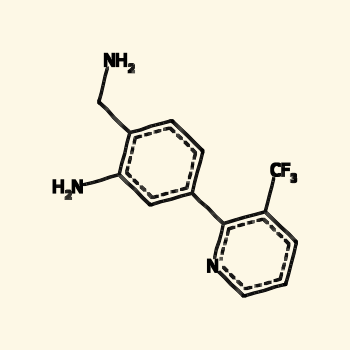 NCc1ccc(-c2ncccc2C(F)(F)F)cc1N